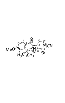 COc1ccc2c(c1)C(C)(C)C1=C(C2=O)C2CC=C(C#N)C(Br)=C2N1